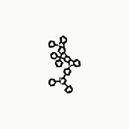 c1ccc(-c2cc(-c3ccc(-n4c5ccccc5c5cc6c(cc54)C(c4ccccc4)(c4ccccc4)c4cc5c(cc4-6)c4ccccc4n5-c4ccccc4)cc3)nc(-c3ccccc3)n2)cc1